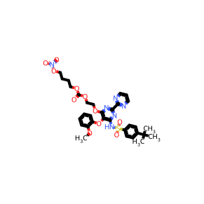 COc1ccccc1Oc1c(NS(=O)(=O)c2ccc(C(C)(C)C)cc2)nc(-c2ncccn2)nc1OCCOC(=O)OCCCCO[N+](=O)[O-]